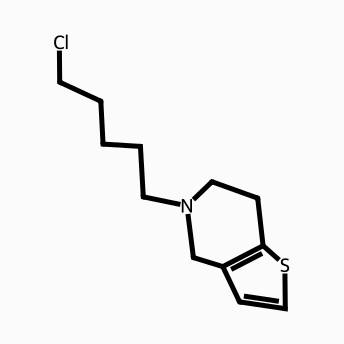 ClCCCCCN1CCc2sccc2C1